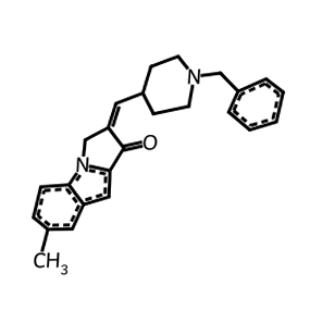 Cc1ccc2c(c1)cc1n2CC(=CC2CCN(Cc3ccccc3)CC2)C1=O